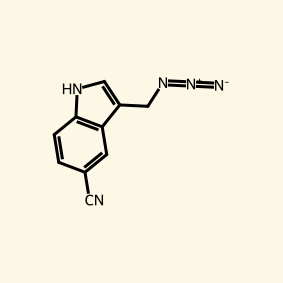 N#Cc1ccc2[nH]cc(CN=[N+]=[N-])c2c1